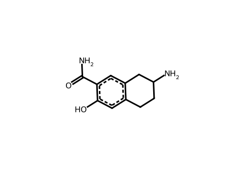 NC(=O)c1cc2c(cc1O)CCC(N)C2